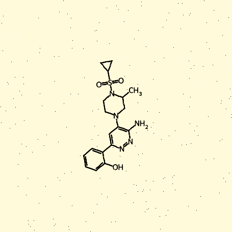 CC1CN(c2cc(-c3ccccc3O)nnc2N)CCN1S(=O)(=O)C1CC1